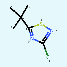 CC(C)(C)c1nc(Cl)ns1